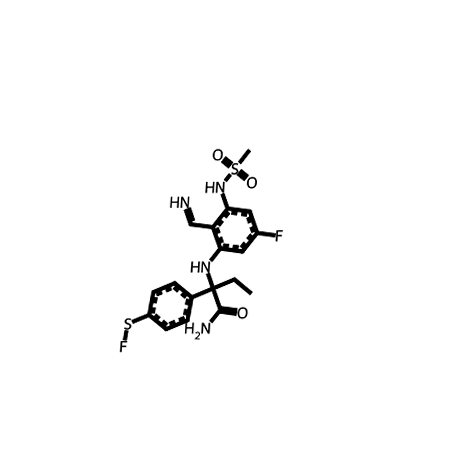 CCC(Nc1cc(F)cc(NS(C)(=O)=O)c1C=N)(C(N)=O)c1ccc(SF)cc1